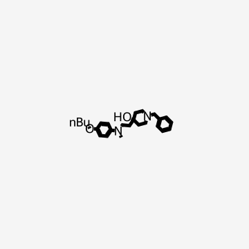 CCCCOc1ccc(N(C)CCC2(O)CCN(Cc3ccccc3)CC2)cc1